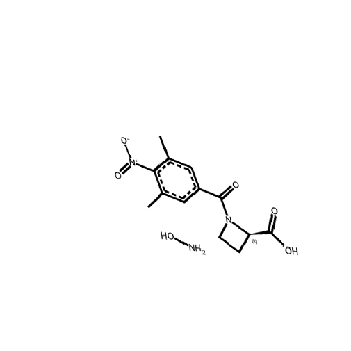 Cc1cc(C(=O)N2CC[C@@H]2C(=O)O)cc(C)c1[N+](=O)[O-].NO